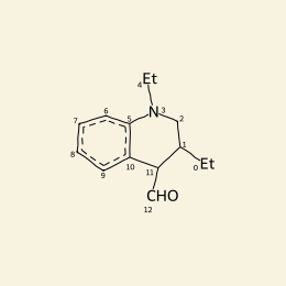 CCC1CN(CC)c2ccccc2C1C=O